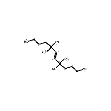 CC(C#N)(CCCO)N=NC(C)(C#N)CCCO